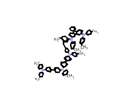 Cc1ccc(N(c2ccc(C)cc2)c2ccc(-c3ccc(N(c4ccc(C)cc4)c4ccc(-c5ccc(N(c6ccc(C)cc6)c6ccc(Cc7cc(N(c8ccc(C)cc8)c8ccc(C9(c%10ccc(N(c%11ccc(C)cc%11)c%11ccc(C)cc%11)cc%10)CCCCC9)cc8)ccc7C)cc6)cc5)cc4)cc3)cc2)cc1